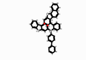 c1ccc(-c2ccc(N(c3ccc4c(c3)sc3ccccc34)c3ccccc3-c3cccc4oc5c6ccccc6ccc5c34)cc2)cc1